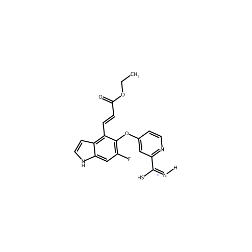 [H]/N=C(/S)c1cc(Oc2c(F)cc3[nH]ccc3c2C=CC(=O)OCC)ccn1